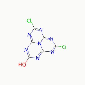 OC1=NC2=NC(Cl)=NC3=NC(Cl)=NC(=N1)N23